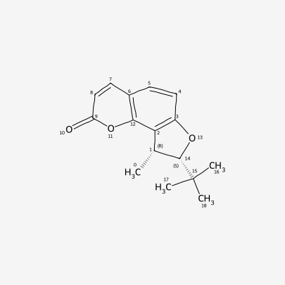 C[C@@H]1c2c(ccc3ccc(=O)oc23)O[C@@H]1C(C)(C)C